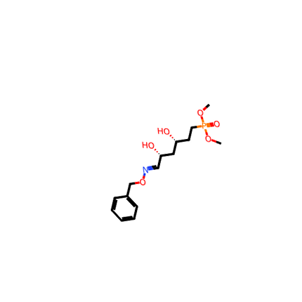 COP(=O)(CC[C@@H](O)C[C@@H](O)C=NOCc1ccccc1)OC